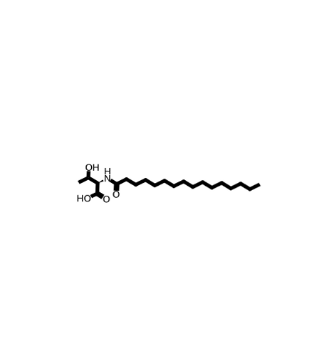 CCCCCCCCCCCCCCCC(=O)N[C@H](C(=O)O)C(C)O